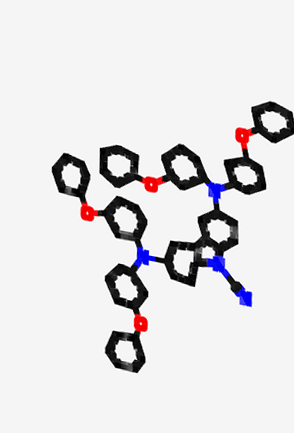 N#Cn1c2ccc(N(c3cccc(Oc4ccccc4)c3)c3cccc(Oc4ccccc4)c3)cc2c2cc(N(c3cccc(Oc4ccccc4)c3)c3cccc(Oc4ccccc4)c3)ccc21